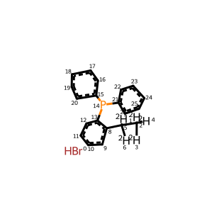 Br.[2H]C([2H])([2H])C([2H])([2H])c1ccccc1P(c1ccccc1)c1ccccc1